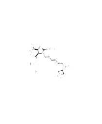 CCCCc1nc2c(N)nnc(OC(C)C)c2n1CCCCCCN(C(C)=O)C1CS(=O)(=O)C1.Cl